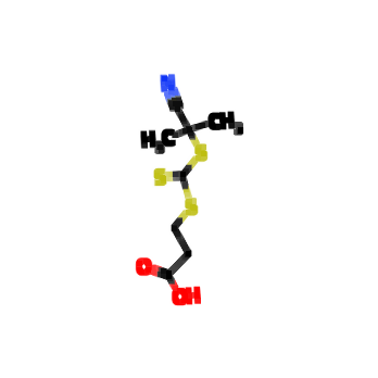 CC(C)(C#N)SC(=S)SCCC(=O)O